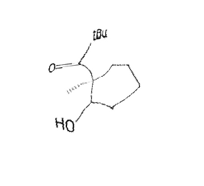 CC(C)(C)C(=O)[C@@]1(C)CCCCC1O